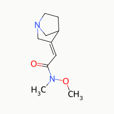 CON(C)C(=O)C=C1CN2CCC1C2